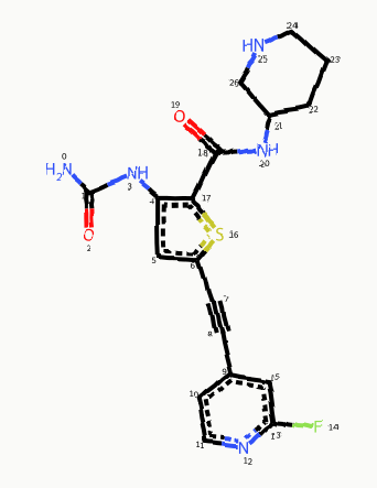 NC(=O)Nc1cc(C#Cc2ccnc(F)c2)sc1C(=O)NC1CCCNC1